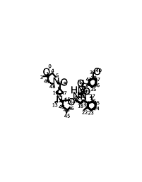 COC1(C)CCN(C(=O)C2CC(N(C)[C@@H](COc3cc(-c4c(C)cccc4C)nc(NS(=O)(=O)c4cccc(C=O)c4)n3)CC(C)C)C2)CC1